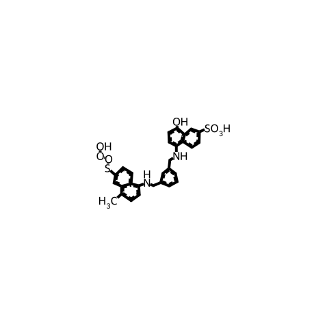 Cc1ccc(NCc2cccc(CNc3ccc(O)c4cc(S(=O)(=O)O)ccc34)c2)c2ccc(SOOO)cc12